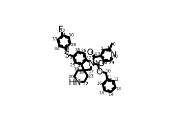 Cc1cc(C(=O)[N+]2(C(=O)OCc3ccccc3)CC3(CCNCC3)c3cc(Sc4ccc(F)cc4)ccc32)ccn1